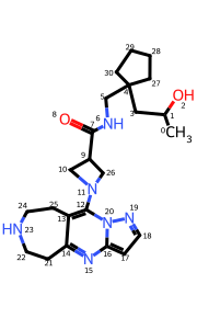 CC(O)CC1(CNC(=O)C2CN(c3c4c(nc5ccnn35)CCNCC4)C2)CCCC1